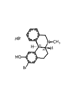 Br.CN1Cc2ccccc2[C@@H]2c3cc(O)c(Br)cc3CC[C@H]21